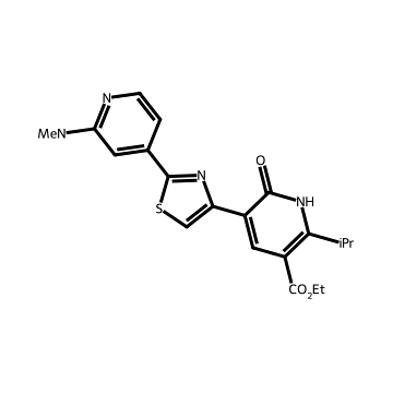 CCOC(=O)c1cc(-c2csc(-c3ccnc(NC)c3)n2)c(=O)[nH]c1C(C)C